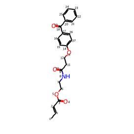 CC=CC(=O)OCCNC(=O)CCOc1ccc(C(=O)c2ccccc2)cc1